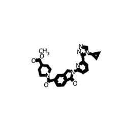 COC(=O)C1CCN(C(=O)c2ccc3c(c2)CN(c2cccc(-c4nncn4C4CC4)n2)C3=O)CC1